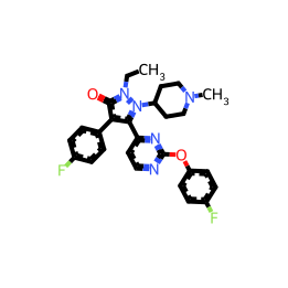 CCn1c(=O)c(-c2ccc(F)cc2)c(-c2ccnc(Oc3ccc(F)cc3)n2)n1C1CCN(C)CC1